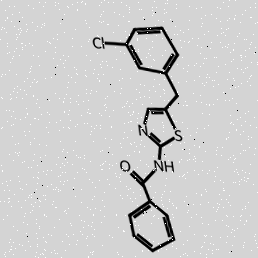 O=C(Nc1ncc(Cc2cccc(Cl)c2)s1)c1ccccc1